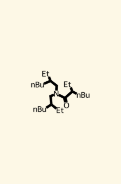 CCCCC(CC)CN(CC(CC)CCCC)C(=O)C(CC)CCCC